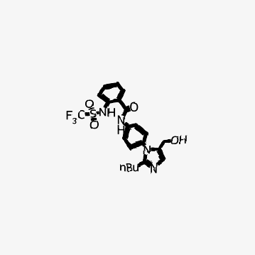 CCCCc1ncc(CO)n1-c1ccc(NC(=O)c2ccccc2NS(=O)(=O)C(F)(F)F)cc1